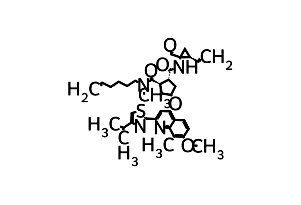 C=CCCCCN(C)C(=O)[C@@H]1C[C@H](Oc2cc(-c3nc(C(C)C)cs3)nc3c(C)c(OC)ccc23)C[C@H]1C(=O)N[C@]1(C=O)C[C@H]1C=C